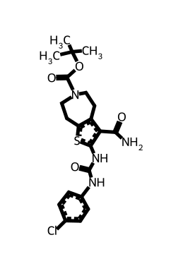 CC(C)(C)OC(=O)N1CCc2sc(NC(=O)Nc3ccc(Cl)cc3)c(C(N)=O)c2CC1